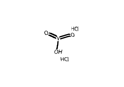 Cl.Cl.[O]=[V](=[O])[OH]